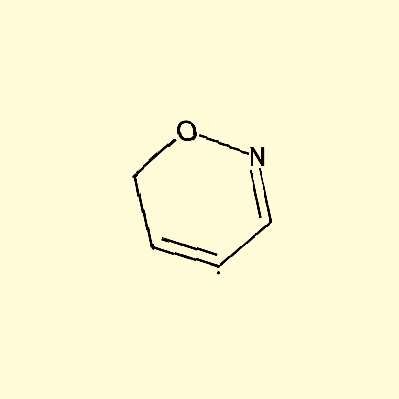 [C]1=CCON=C1